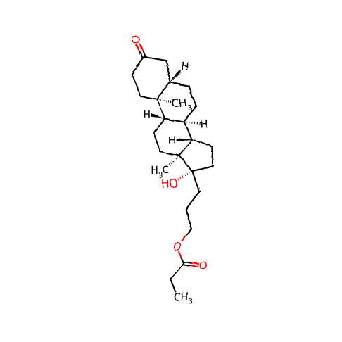 CCC(=O)OCCC[C@]1(O)CC[C@H]2[C@@H]3CC[C@H]4CC(=O)CC[C@]4(C)[C@H]3CC[C@@]21C